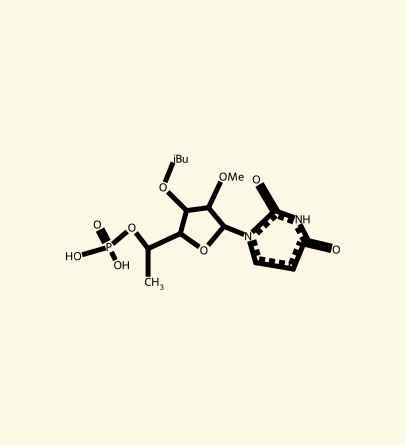 CCC(C)OC1C(C(C)OP(=O)(O)O)OC(n2ccc(=O)[nH]c2=O)C1OC